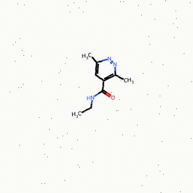 CCNC(=O)c1cc(C)nnc1C